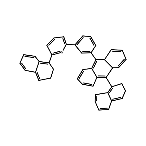 C1=CC2C(C3=c4ccccc4=CCC3)=c3ccccc3=C(c3cccc(-c4cccc(C5=c6ccccc6=CCC5)n4)c3)C2C=C1